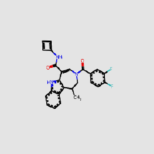 CC1CN(C(=O)c2ccc(F)c(F)c2)C=C(C(=O)NC2=CC=C2)c2[nH]c3ccccc3c21